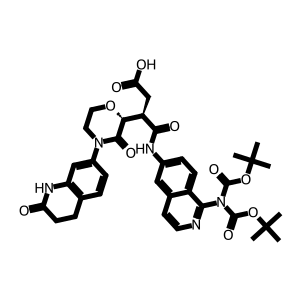 CC(C)(C)OC(=O)N(C(=O)OC(C)(C)C)c1nccc2cc(NC(=O)[C@H](CC(=O)O)[C@H]3OCCN(c4ccc5c(c4)NC(=O)CC5)C3=O)ccc12